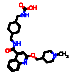 CN1CCC(COc2cc(C(=O)NCC3CCC(CNC(=O)O)CC3)c3ccccc3n2)CC1